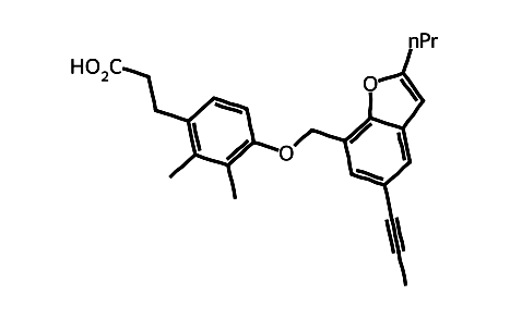 CC#Cc1cc(COc2ccc(CCC(=O)O)c(C)c2C)c2oc(CCC)cc2c1